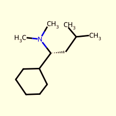 CC(C)C[C@H](C1CCCCC1)N(C)C